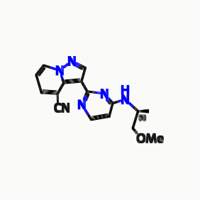 COC[C@H](C)Nc1ccnc(-c2cnn3cccc(C#N)c23)n1